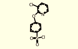 O=S(=O)(Cl)c1ccc(Oc2ncccc2Cl)cc1